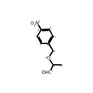 CC([C]=O)OCc1ccc([N+](=O)[O-])cc1